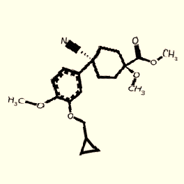 COc1ccc([C@]2(C#N)CC[C@@](OC)(C(=O)OC)CC2)cc1OCC1CC1